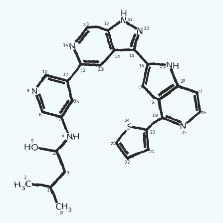 CC(C)CC(O)Nc1cncc(-c2cc3c(-c4cc5c(-c6cccs6)nccc5[nH]4)n[nH]c3cn2)c1